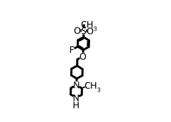 C[C@H]1CNCCN1C1CCC(COc2ccc(S(C)(=O)=O)cc2F)CC1